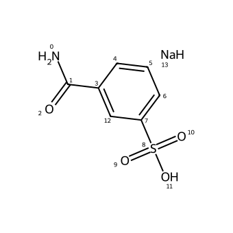 NC(=O)c1cccc(S(=O)(=O)O)c1.[NaH]